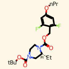 CCCOc1cc(F)c(COC(=O)N2CCN(C(=O)OC(C)(C)C)C[C@H]2CC)c(F)c1